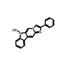 CCCCn1c2ccccc2c2cc3nc(-c4ccccc4)cn3cc21